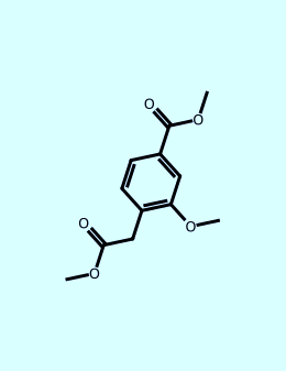 COC(=O)Cc1ccc(C(=O)OC)cc1OC